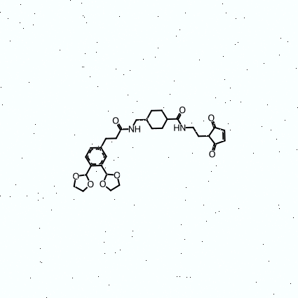 O=C(CCc1ccc(C2OCCO2)c(C2OCCO2)c1)NCC1CCC(C(=O)NCCC2C(=O)C=CC2=O)CC1